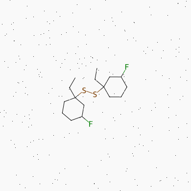 CCC1(SSC2(CC)CCCC(F)C2)CCCC(F)C1